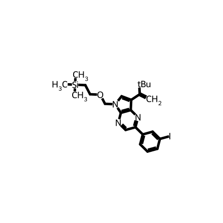 C=C(c1cn(COCC[Si](C)(C)C)c2ncc(-c3cccc(I)c3)nc12)C(C)(C)C